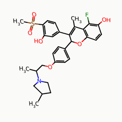 CC1=C(c2ccc(S(C)(=O)=O)c(O)c2)C(c2ccc(OCC(C)N3CCC(C)C3)cc2)Oc2ccc(O)c(F)c21